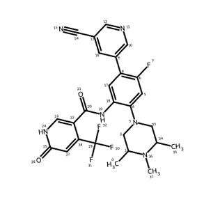 CC1CN(c2cc(F)c(-c3cncc(C#N)c3)cc2NC(=O)c2c[nH]c(=O)cc2C(F)(F)F)CC(C)N1C